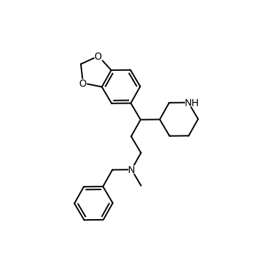 CN(CCC(c1ccc2c(c1)OCO2)C1CCCNC1)Cc1ccccc1